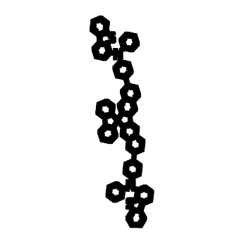 c1ccc(N(c2ccc(-c3ccc4cc5c(cc4c3)C3(c4ccccc4-c4ccccc43)c3cc4cc(-c6ccc(N(c7ccccc7)c7cccc8c7sc7ccccc78)cc6)ccc4cc3-5)cc2)c2cccc3c2sc2ccccc23)cc1